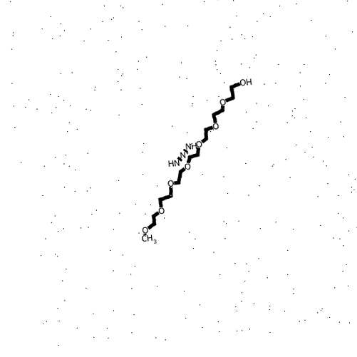 COCCOCCOCCOCCOCCOCCOCCO.N=[N+]=N